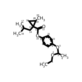 CCOC(C)Oc1ccc(OC(=O)C2(CC(C)C)C[C@H]2C)cc1